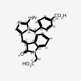 CCCc1ncc(/C=C2/C(=O)N(CC(=O)O)c3ccccc32)n1Cc1ccc(C(=O)O)cc1